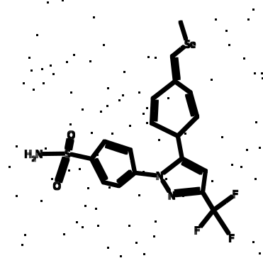 C[Se]C=C1C=CC(c2cc(C(F)(F)F)nn2-c2ccc(S(N)(=O)=O)cc2)C=C1